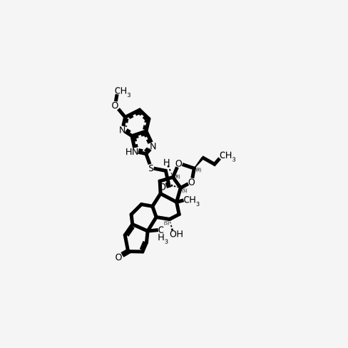 CCC[C@@H]1O[C@@H]2CC3C4CCC5=CC(=O)C=CC5(C)C4[C@@H](O)CC3(C)[C@]2(C(=O)CSc2nc3ccc(OC)nc3[nH]2)O1